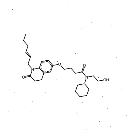 CCCC=CCN1C(=O)CCc2cc(OCCCC(=O)N(CCO)C3CCCCC3)ccc21